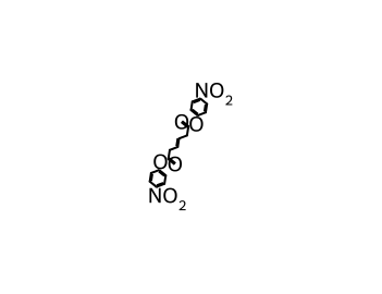 O=C(C/C=C/CC(=O)Oc1ccc([N+](=O)[O-])cc1)Oc1ccc([N+](=O)[O-])cc1